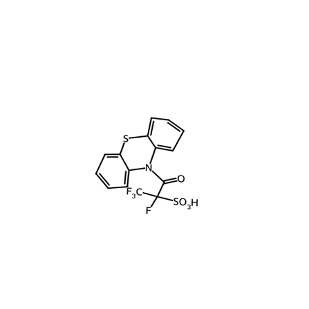 O=C(N1c2ccccc2Sc2ccccc21)C(F)(C(F)(F)F)S(=O)(=O)O